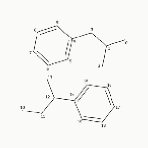 CC(C)Cc1ccccc1.CCC(C)c1ccccc1